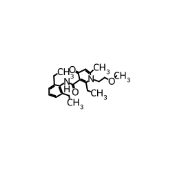 CCc1cccc(CC)c1NC(=O)c1c(CC)n(CCOC)c(C)cc1=O